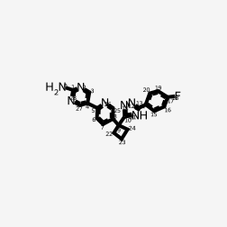 Nc1ncc(-c2ccc(C3(c4nnc(-c5ccc(F)cc5)[nH]4)CCC3)cn2)cn1